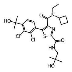 CCN(C(=O)c1nc(C(=O)NCC(C)(C)O)sc1-c1ccc(C(C)(C)O)c(Cl)c1Cl)C1CCC1